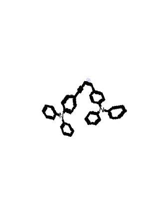 C(#Cc1ccc(N(c2ccccc2)c2ccccc2)cc1)/C=C\c1ccc(N(c2ccccc2)c2ccccc2)cc1